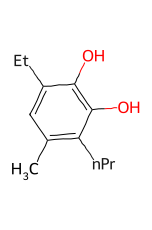 CCCc1c(C)cc(CC)c(O)c1O